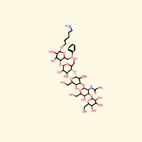 CC(=O)NC1C(O[C@@H]2OC(CO)[C@H](O)C(O)C2O)[C@@H](O)C(CO)O[C@H]1OC1C(O)[C@@H](O[C@H]2C(CO)O[C@@H](O[C@@H]3C(COc4ccccc4)O[C@@H](OCCCCCN)C(O)C3O)C(O)C2O)OC(CO)[C@@H]1O